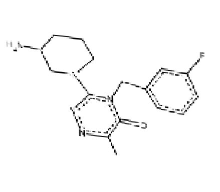 Cc1nnc(N2CCCC(N)C2)n(Cc2cccc(F)c2)c1=O